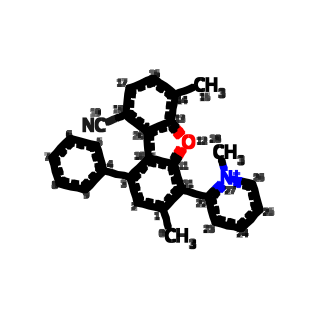 Cc1cc(-c2ccccc2)c2c(oc3c(C)ccc(C#N)c32)c1-c1cccc[n+]1C